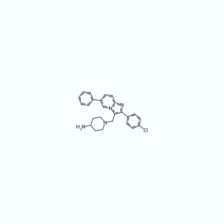 NC1CCN(Cc2c(-c3ccc(Cl)cc3)nc3ccc(-c4ccccc4)cn23)CC1